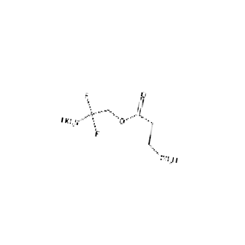 O=C(O)CCC(=O)OCC(F)(F)S(=O)(=O)O